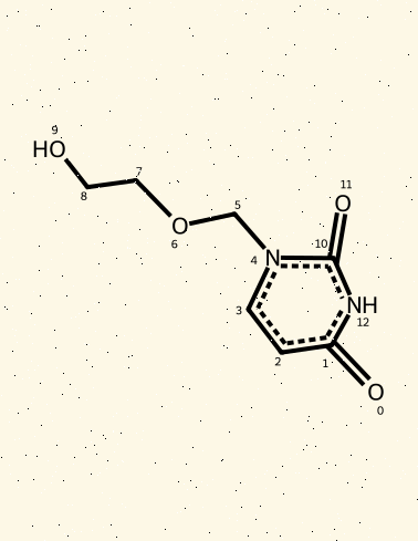 O=c1ccn(COCCO)c(=O)[nH]1